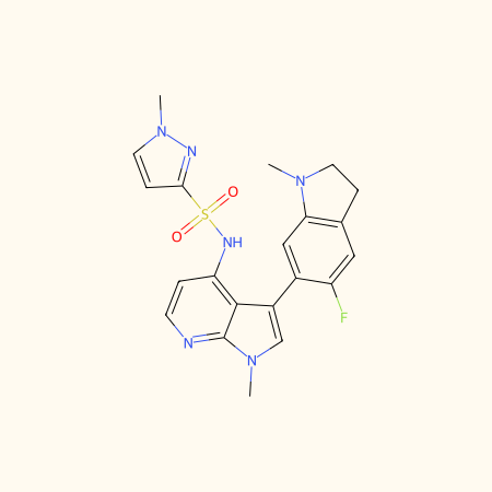 CN1CCc2cc(F)c(-c3cn(C)c4nccc(NS(=O)(=O)c5ccn(C)n5)c34)cc21